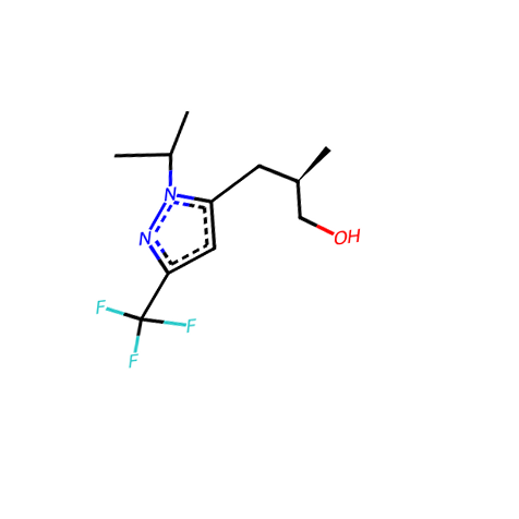 CC(C)n1nc(C(F)(F)F)cc1C[C@@H](C)CO